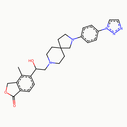 Cc1c(C(O)CN2CCC3(CC2)CCN(c2ccc(-n4ccnn4)cc2)C3)ccc2c1COC2=O